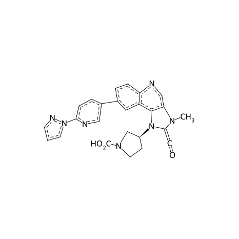 CN1C(=C=O)N([C@H]2CCN(C(=O)O)C2)c2c1cnc1ccc(-c3ccc(-n4cccn4)nc3)cc21